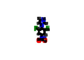 O=[N+]([O-])c1cc(F)c(-n2ccnc2)c(F)c1